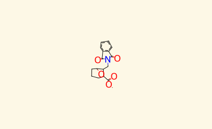 COC(=O)C1C2CCC(O2)C1CN1C(=O)c2ccccc2C1=O